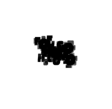 CC(NC(=O)Cc1c(F)cc(F)cc1F)C(=O)C1N=C(c2ccccc2)c2ccccc2N(C)[C@@H]1N